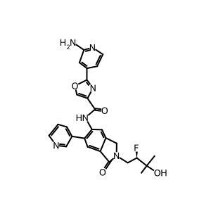 CC(C)(O)[C@H](F)CN1Cc2cc(NC(=O)c3coc(-c4ccnc(N)c4)n3)c(-c3cccnc3)cc2C1=O